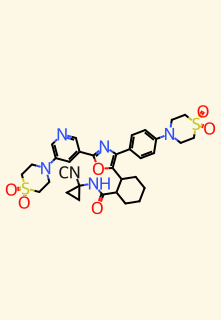 N#CC1(NC(=O)C2CCCCC2c2oc(-c3cncc(N4CCS(=O)(=O)CC4)c3)nc2-c2ccc(N3CCS(=O)(=O)CC3)cc2)CC1